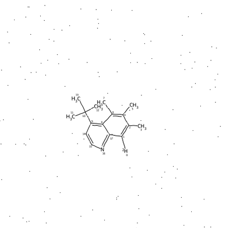 [2H]c1c(C)c(C)c(C)c2c(C(C)(C)C)ccnc12